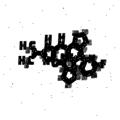 CC(C)c1ncc(Nc2nc([N+]3(c4ccc(F)nc4)CCCC3C(N)=O)nc3c2CCC3)[nH]1